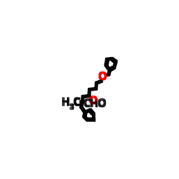 CC(C=O)(CC(=O)CCCCOCc1ccccc1)Cc1ccccc1